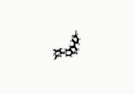 Cc1nc(C)c(C)c(N2CCc3ncc(-c4ccc(F)nc4)cc3C2)n1